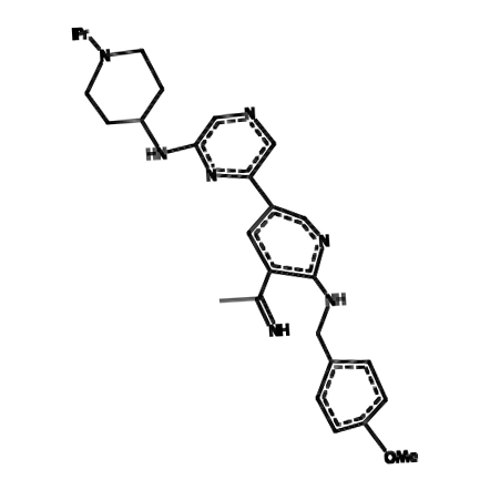 COc1ccc(CNc2ncc(-c3cncc(NC4CCN(C(C)C)CC4)n3)cc2C(C)=N)cc1